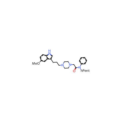 CCCCCN(C(=O)CN1CCN(CCCc2c[nH]c3ccc(OC)cc23)CC1)c1ccccc1